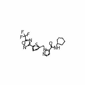 O=C(NC1CCCCC1)c1ccnn1Cc1ccc(-c2noc(C(F)(F)F)n2)s1